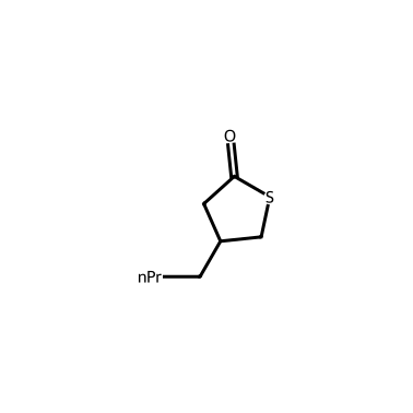 CCCCC1CSC(=O)C1